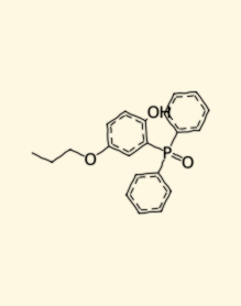 CCCOc1ccc(O)c(P(=O)(c2ccccc2)c2ccccc2)c1